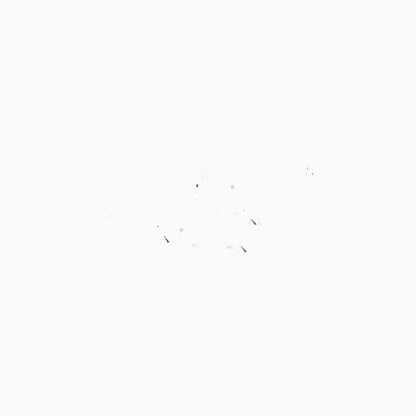 C=C1CC[C@H]2[C@@H]3[C@@H](O)[C@H](O)[C@H]4C[C@@H](N)CC[C@]4(C)[C@H]3CC[C@]12C.CC(=O)O